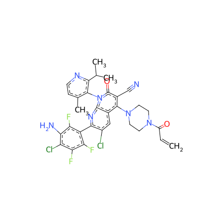 C=CC(=O)N1CCN(c2c(C#N)c(=O)n(-c3c(C)ccnc3C(C)C)c3nc(-c4c(F)c(N)c(Cl)c(F)c4F)c(Cl)cc23)CC1